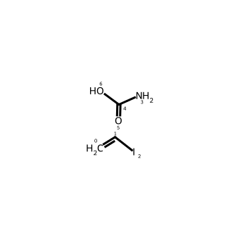 C=CI.NC(=O)O